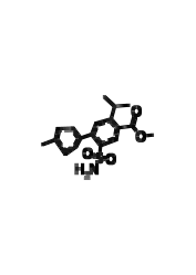 COC(=O)c1cc(S(N)(=O)=O)c(-c2ccc(C)cc2)cc1C(C)C